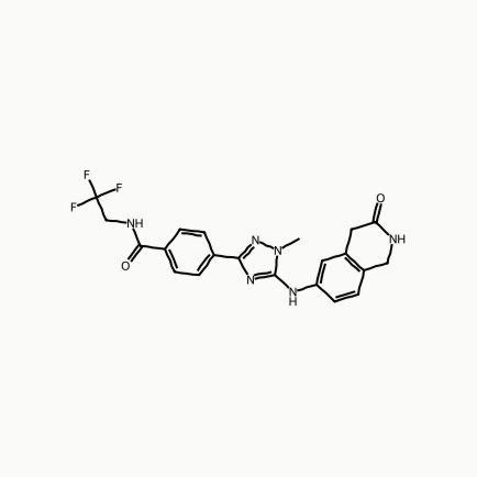 Cn1nc(-c2ccc(C(=O)NCC(F)(F)F)cc2)nc1Nc1ccc2c(c1)CC(=O)NC2